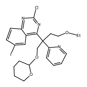 CCOCCC(COC1CCCCO1)(c1ccccn1)c1nc(Cl)nc2ccc(I)cc12